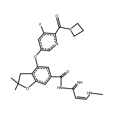 CN/C=C\C(=N)NC(=O)c1cc(Oc2cnc(C(=O)N3CCC3)c(F)c2)c2c(c1)OC(C)(C)C2